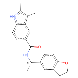 Cc1[nH]c2ccc(C(=O)N[C@@H](C)c3ccc4c(c3)CCO4)cc2c1C